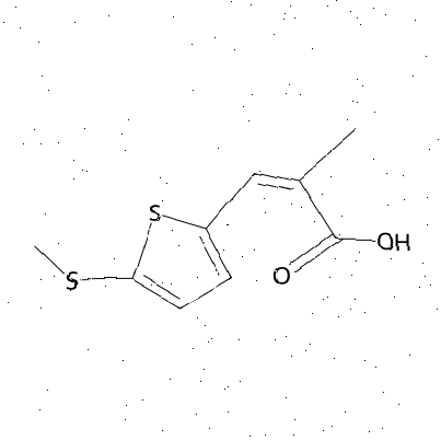 CSc1ccc(C=C(C)C(=O)O)s1